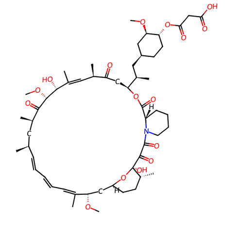 CO[C@H]1C[C@@H]2CC[C@@H](C)[C@@](O)(O2)C(=O)C(=O)N2CCCC[C@H]2C(=O)O[C@H]([C@H](C)C[C@@H]2CC[C@@H](OC(=O)CC(=O)O)[C@H](OC)C2)CC(=O)[C@H](C)/C=C(\C)[C@@H](O)[C@@H](OC)C(=O)[C@H](C)C[C@H](C)/C=C/C=C/C=C/1C